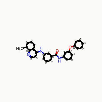 Cc1cccc2c(Nc3cccc(C(=O)Nc4cccc(Oc5ccccc5)c4)c3)ccnc12